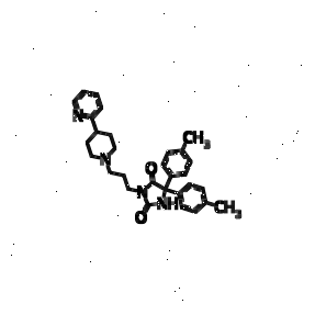 Cc1ccc(C2(c3ccc(C)cc3)NC(=O)N(CCCN3CCC(c4ccccn4)CC3)C2=O)cc1